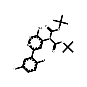 CC(C)(C)OC(=O)N(C(=O)OC(C)(C)C)c1cc(-c2cc(Cl)ccc2F)nnc1S